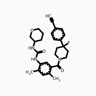 C#Cc1ccc(C2(F)CCN(C(=O)c3cc(NC(=O)NC4CCCOC4)c(C)cc3C)CC2)cc1